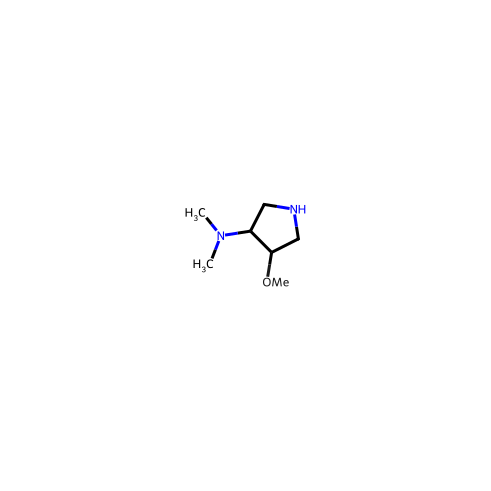 COC1CNCC1N(C)C